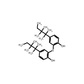 CCC(C)(C)C(C)(C)c1ccc(O)c(Sc2cc(C(C)(C)C(C)(C)CC)ccc2O)c1